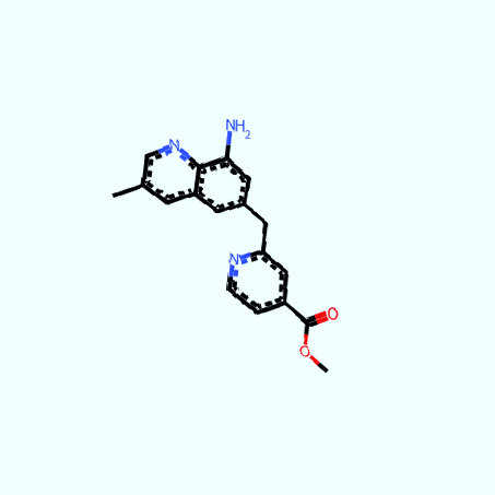 COC(=O)c1ccnc(Cc2cc(N)c3ncc(C)cc3c2)c1